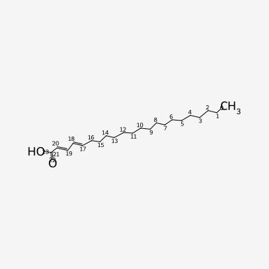 CCCCCCCCCCCCCCCCC/C=C/C=C/C(=O)O